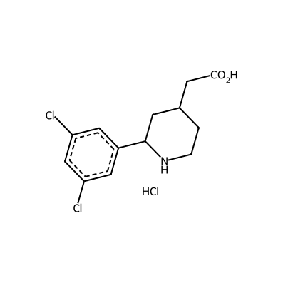 Cl.O=C(O)CC1CCNC(c2cc(Cl)cc(Cl)c2)C1